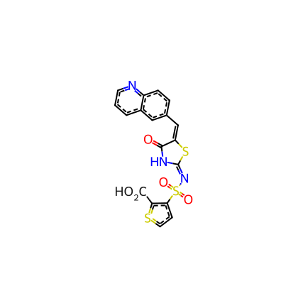 O=C1NC(=NS(=O)(=O)c2ccsc2C(=O)O)SC1=Cc1ccc2ncccc2c1